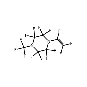 FC(F)=C(F)N1C(F)(F)C(F)(F)N(C(F)(F)F)C(F)(F)C1(F)F